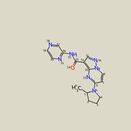 CC1CCCN1c1ccn2ncc(C(=O)Nc3cnccn3)c2n1